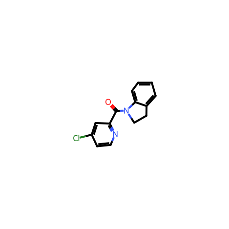 O=C(c1cc(Cl)ccn1)N1CCc2ccccc21